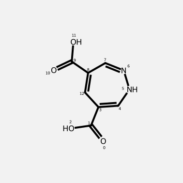 O=C(O)C1=CNN=CC(C(=O)O)=C1